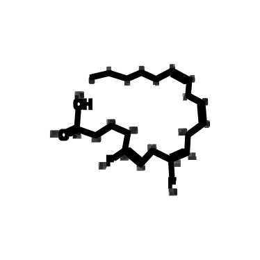 CCCCC/C=C\C/C=C\C/C=C(/F)C/C=C(/F)CCCC(=O)O